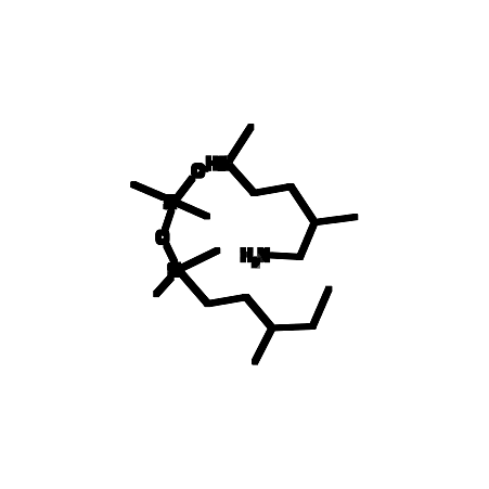 CCC(C)CC[Si](C)(C)O[Si](C)(C)O[SiH](C)CCC(C)CN